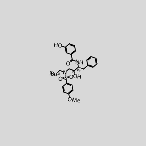 CC[C@H](C)CN(C[C@@H](O)[C@H](Cc1ccccc1)NC(=O)c1cccc(O)c1)S(=O)(=O)c1ccc(OC)cc1